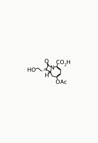 CC(=O)OC1=CC=C(C(=O)O)N2C(=O)[C@@H](CCO)[C@H]2C1